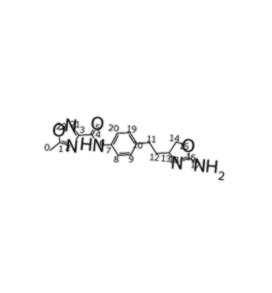 Cc1nc(C(=O)Nc2ccc(CCC3COC(N)=N3)cc2)no1